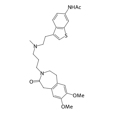 COc1cc2c(cc1OC)CC(=O)N(CCCN(C)CCc1csc3cc(NC(C)=O)ccc13)CC2